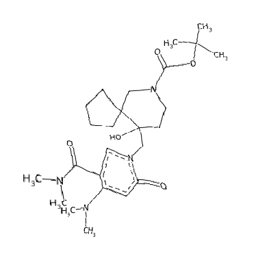 CN(C)C(=O)c1cn(CC2(O)CCN(C(=O)OC(C)(C)C)CC23CCCC3)c(=O)cc1N(C)C